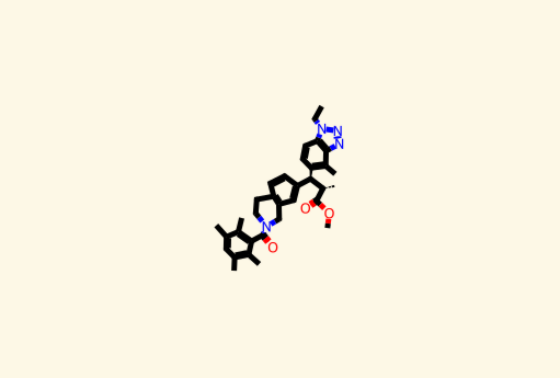 CCn1nnc2c(C)c([C@H](c3ccc4c(c3)CN(C(=O)c3c(C)c(C)cc(C)c3C)CC4)[C@H](C)C(=O)OC)ccc21